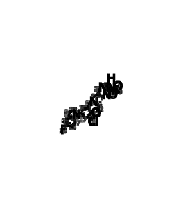 CS(=O)(=O)Nc1ncc(CN2CCOc3c(Cl)cc(-n4ccc5cc(F)ccc54)cc3C2)cn1